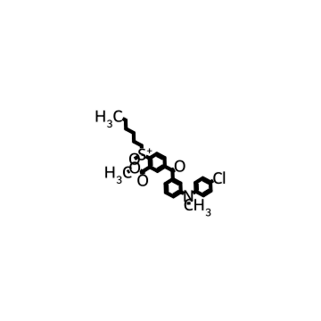 CCCCCC[S+]([O-])c1ccc(C(=O)c2cccc(N(C)c3ccc(Cl)cc3)c2)cc1C(=O)OC